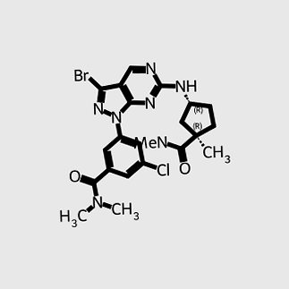 CNC(=O)[C@]1(C)CC[C@@H](Nc2ncc3c(Br)nn(-c4cc(Cl)cc(C(=O)N(C)C)c4)c3n2)C1